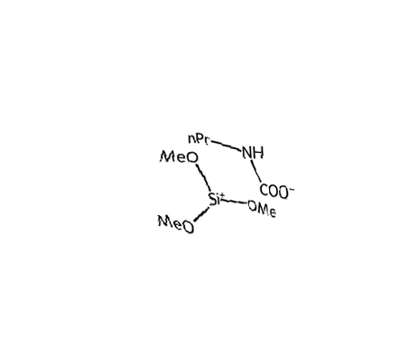 CCCNC(=O)[O-].CO[Si+](OC)OC